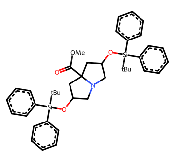 COC(=O)C12CC(O[Si](c3ccccc3)(c3ccccc3)C(C)(C)C)CN1CC(O[Si](c1ccccc1)(c1ccccc1)C(C)(C)C)C2